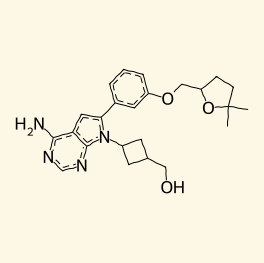 CC1(C)CCC(COc2cccc(-c3cc4c(N)ncnc4n3C3CC(CO)C3)c2)O1